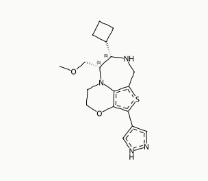 COC[C@@H]1[C@H](C2CCC2)NCc2sc(-c3cn[nH]c3)c3c2N1CCO3